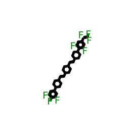 FC(F)=C(F)c1cc(F)c(C2CCC(/C=C/C3CCC(/C=C/C4CCC(c5cc(F)c(F)c(F)c5)CC4)CC3)CC2)c(F)c1